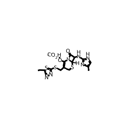 Cc1c[nH]c(NC2C(=O)N3C(OC(=O)O)=C(CSc4nnc(C)s4)CS[C@@H]23)n1